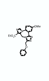 CCOC(=O)c1ncn2c1Cn1c(COc3ccccc3)nnc1-c1cc(OC)ccc1-2